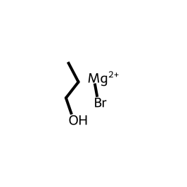 CCCO.[Mg+2][Br]